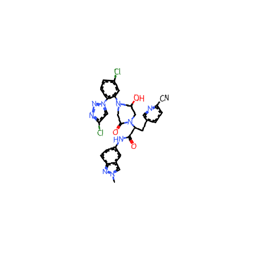 Cn1cc2cc(NC(=O)C(Cc3ccc(C#N)nc3)N3CC(O)N(c4cc(Cl)ccc4-n4cc(Cl)nn4)CC3=O)ccc2n1